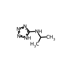 CC(C)Nc1nnn[nH]1